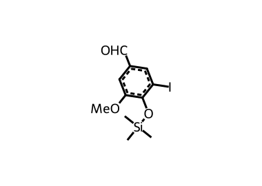 COc1cc(C=O)cc(I)c1O[Si](C)(C)C